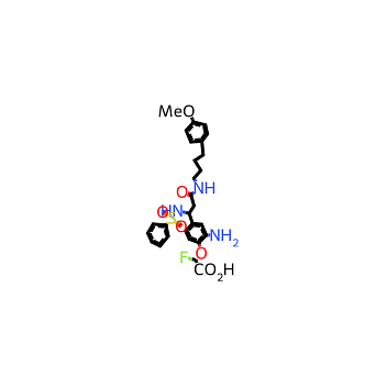 COc1ccc(CCCCNC(=O)CC(NS(=O)(=O)c2ccccc2)c2ccc(OC(F)C(=O)O)c(N)c2)cc1